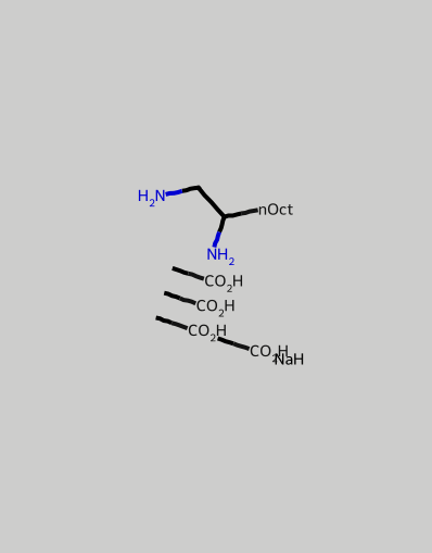 CC(=O)O.CC(=O)O.CC(=O)O.CC(=O)O.CCCCCCCCC(N)CN.[NaH]